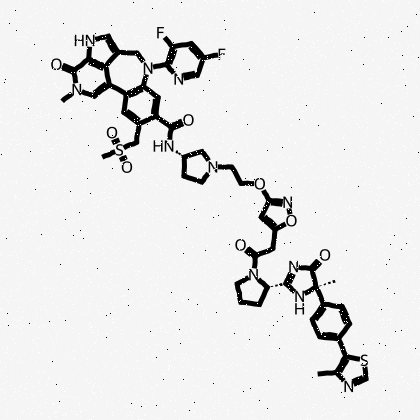 Cc1ncsc1-c1ccc([C@@]2(C)NC([C@@H]3CCCN3C(=O)Cc3cc(OCCN4CC[C@H](NC(=O)c5cc6c(cc5CS(C)(=O)=O)-c5cn(C)c(=O)c7[nH]cc(c57)CN6c5ncc(F)cc5F)C4)no3)=NC2=O)cc1